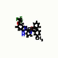 Cc1ccc(-c2ccccc2)c(C(=O)N2CCCC2(C)c2nc3cc(OC(F)(F)F)ccc3[nH]2)c1